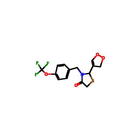 O=C1CSC(C2=COOC2)N1Cc1ccc(OC(F)(F)F)cc1